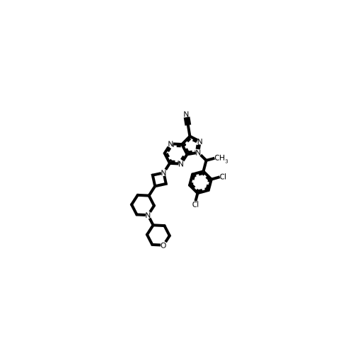 CC(c1ccc(Cl)cc1Cl)n1nc(C#N)c2ncc(N3CC(C4CCCN(C5CCOCC5)C4)C3)nc21